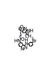 CN1CNC([N+](=O)[O-])=C1C[N+]1(C/C=C/C(=O)Nc2ccc3ncnc(Nc4cccc(Br)c4)c3c2)CCOCC1